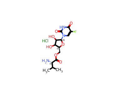 CC(C)[C@H](N)C(=O)OC[C@@H]1O[C@H](n2cc(F)c(=O)[nH]c2=O)C(O)C1O.Cl